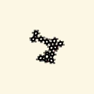 c1ccc(-c2ccccc2-c2ccccc2N(c2ccc(-c3ccc(-n4c5ccccc5c5ccccc54)cc3)cc2)c2ccc(-c3ccc4c(c3)C3(c5ccccc5-4)c4ccccc4-n4c5ccccc5c5cccc3c54)c3ccccc23)cc1